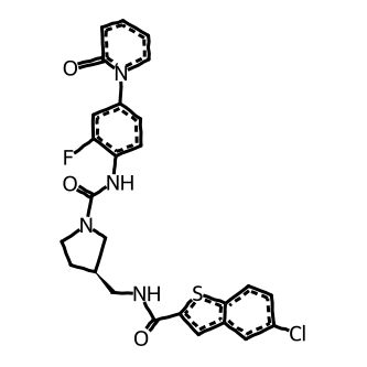 O=C(NC[C@H]1CCN(C(=O)Nc2ccc(-n3ccccc3=O)cc2F)C1)c1cc2cc(Cl)ccc2s1